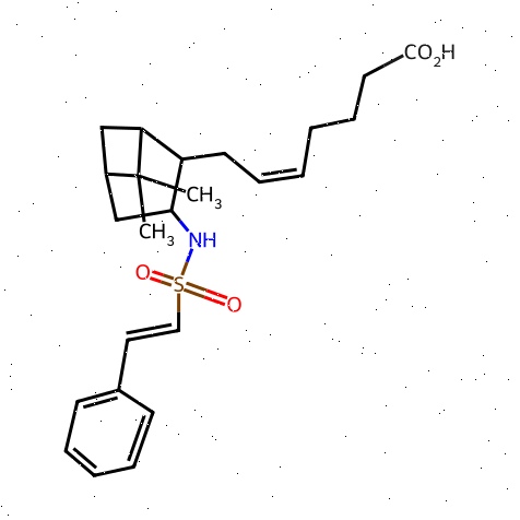 CC1(C)C2CC(NS(=O)(=O)C=Cc3ccccc3)C(C/C=C\CCCC(=O)O)C1C2